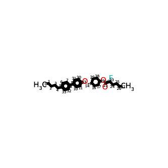 CCCCCc1ccc(-c2ccc(OC[C@H]3CC[C@H](OC(=O)[C@@H](F)CCCC)CC3)cc2)cc1